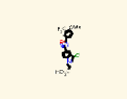 COc1ccc(-c2nc(-c3ccc4c(c3)c(Cl)cn4CCC(=O)O)no2)cc1C(F)(F)F